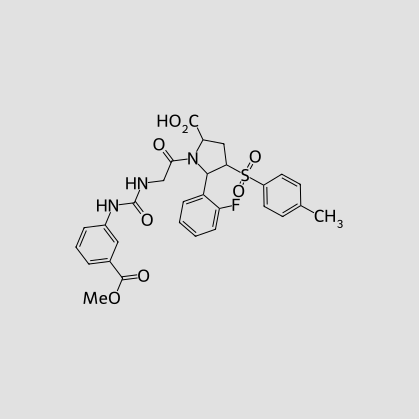 COC(=O)c1cccc(NC(=O)NCC(=O)N2C(C(=O)O)CC(S(=O)(=O)c3ccc(C)cc3)C2c2ccccc2F)c1